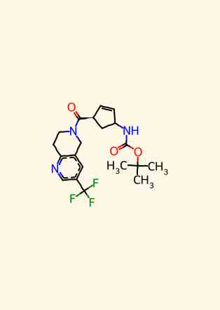 CC(C)(C)OC(=O)NC1C=C[C@H](C(=O)N2CCc3ncc(C(F)(F)F)cc3C2)C1